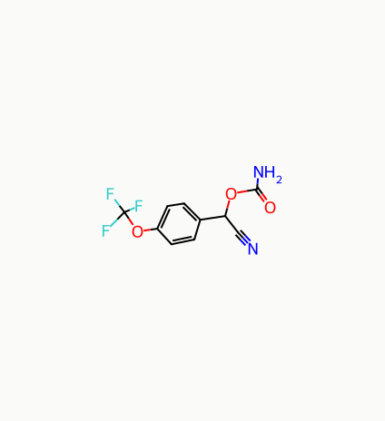 N#CC(OC(N)=O)c1ccc(OC(F)(F)F)cc1